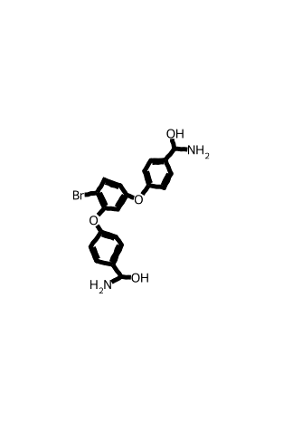 NC(O)c1ccc(Oc2ccc(Br)c(Oc3ccc(C(N)O)cc3)c2)cc1